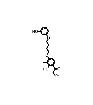 Cc1c(OCCCCOc2cccc(O)c2)ccc(C(=O)CC(C)C)c1O